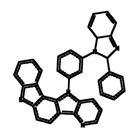 C1=CC2=NC(c3ccccc3)N(c3cccc(-n4c5cccnc5c5ccc6sc7ccccc7c6c54)c3)C2C=C1